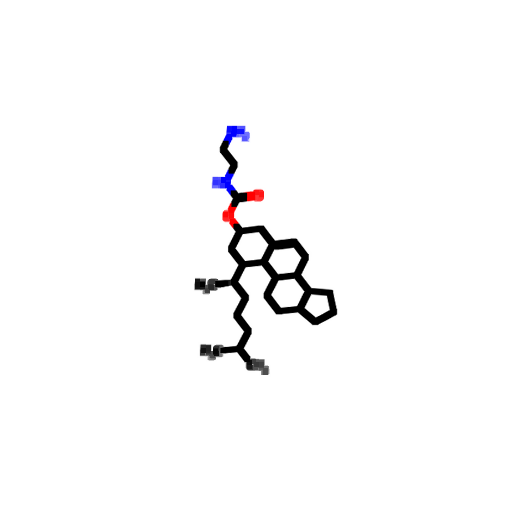 CC(C)CCC[C@@H](C)C1CC(OC(=O)NCCN)CC2=CCC3C4CCCC4CCC3C21